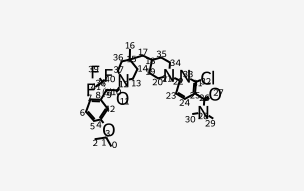 CC(C)Oc1cccc([C@@H](C(=O)N2CCC(C)(CC3CCN(c4ccc(C(=O)N(C)C)c(Cl)n4)CC3)CC2)C(F)(F)F)c1